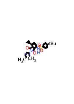 C=C/C=C\C(=C/C)N1C(=O)c2c(NS(=O)(=O)c3ccc(C(C)(C)C)cc3)ccc(C3CC3)c2C1=O